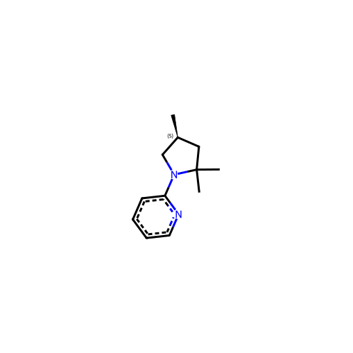 C[C@@H]1CN(c2ccccn2)C(C)(C)C1